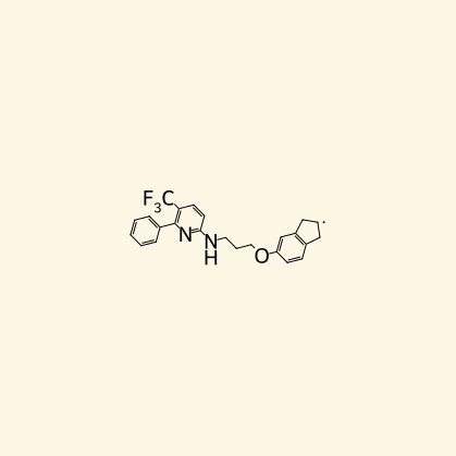 FC(F)(F)c1ccc(NCCCOc2ccc3c(c2)C[CH]C3)nc1-c1ccccc1